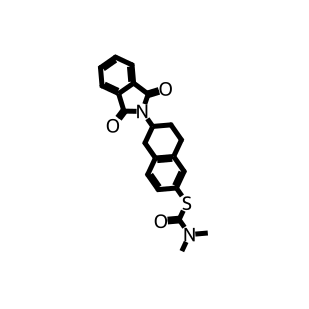 CN(C)C(=O)Sc1ccc2c(c1)CCC(N1C(=O)c3ccccc3C1=O)C2